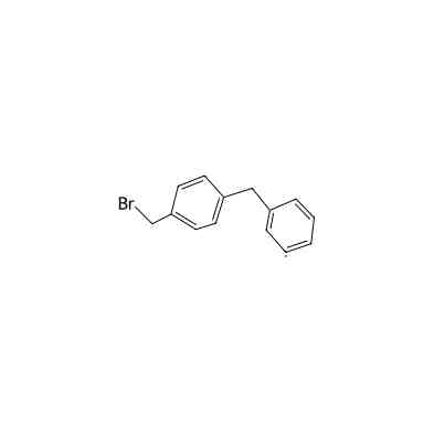 BrCc1ccc(Cc2c[c]ccc2)cc1